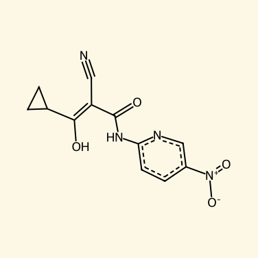 N#CC(C(=O)Nc1ccc([N+](=O)[O-])cn1)=C(O)C1CC1